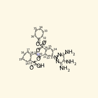 Nc1nnnc(N)c1N.O=S(=O)(O)c1ccccc1/C=C/c1ccccc1S(=O)(=O)Oc1ccccc1